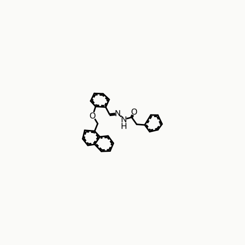 O=C(Cc1ccccc1)NN=Cc1ccccc1OCc1cccc2ccccc12